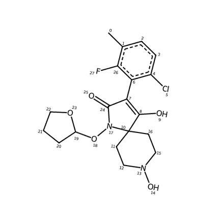 Cc1ccc(Cl)c(C2=C(O)C3(CCN(O)CC3)N(OC3CCCO3)C2=O)c1F